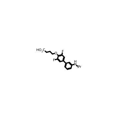 CC(C)Nc1cccc(-c2cc(F)c(OCCCC(=O)O)c(F)c2)c1